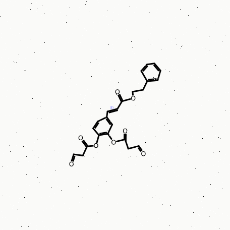 O=CCC(=O)Oc1ccc(/C=C/C(=O)OCCc2ccccc2)cc1OC(=O)CC=O